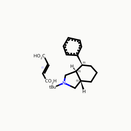 CC(C)(C)N1C[C@H]2CCC[C@H](c3ccccc3)[C@@H]2C1.O=C(O)/C=C/C(=O)O